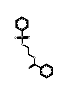 O=C(OCCOS(=O)(=O)c1ccccc1)c1ccccc1